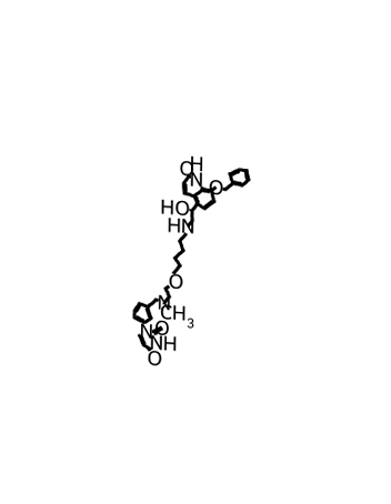 CN(CCOCCCCCCNC[C@@H](O)c1ccc(OCc2ccccc2)c2[nH]c(=O)ccc12)Cc1cccc(-n2ccc(=O)[nH]c2=O)c1